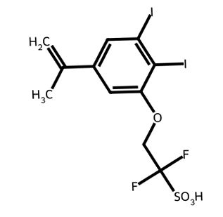 C=C(C)c1cc(I)c(I)c(OCC(F)(F)S(=O)(=O)O)c1